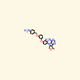 CC1OCc2c1c1ncnc(N)c1n2-c1ccc(Oc2cccc(OCc3ccc(N)cc3)c2)cc1